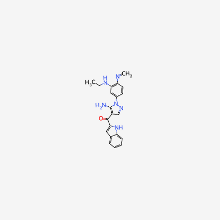 C=Nc1ccc(-n2ncc(C(=O)c3cc4ccccc4[nH]3)c2N)cc1NCC